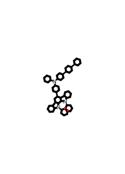 c1ccc(-c2ccc(-c3ccc(N(c4ccccc4)c4ccc(-c5cc6c7ccccc7n(-c7ccccc7)c6c6c5c5ccccc5n6-c5ccccc5)cc4)cc3)cc2)cc1